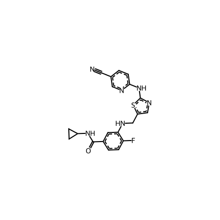 N#Cc1ccc(Nc2ncc(CNc3cc(C(=O)NC4CC4)ccc3F)s2)nc1